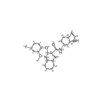 COc1cc(F)ccc1Oc1nc2ccccc2nc1C(=O)Nc1ccc2nc[nH]c2c1